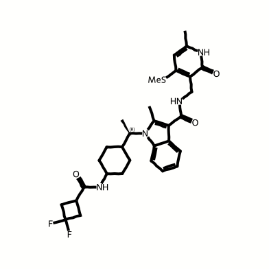 CSc1cc(C)[nH]c(=O)c1CNC(=O)c1c(C)n([C@H](C)C2CCC(NC(=O)C3CC(F)(F)C3)CC2)c2ccccc12